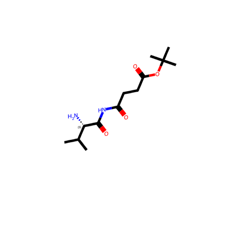 CC(C)[C@H](N)C(=O)NC(=O)CCC(=O)OC(C)(C)C